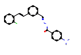 CN(C)c1ccc(C(=O)N/N=C/c2cccc(/C=C/c3ccccc3Cl)c2)cc1